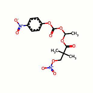 CC(OC(=O)Oc1ccc([N+](=O)[O-])cc1)OC(=O)C(C)(C)CO[N+](=O)[O-]